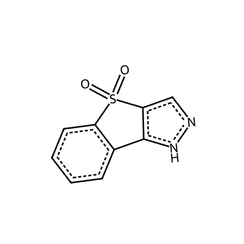 O=S1(=O)c2ccccc2-c2[nH]ncc21